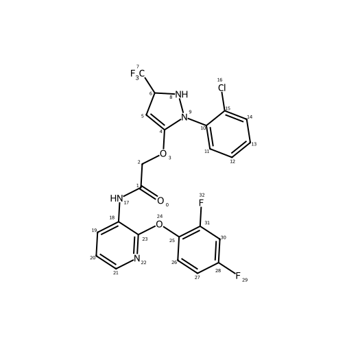 O=C(COC1=CC(C(F)(F)F)NN1c1ccccc1Cl)Nc1cccnc1Oc1ccc(F)cc1F